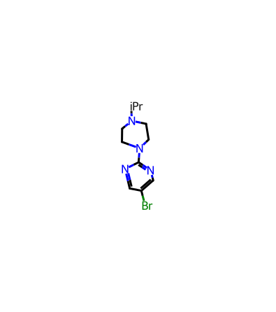 CC(C)N1CCN(c2ncc(Br)cn2)CC1